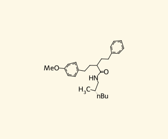 CCCC[C@H](C)CNC(=O)C(CCc1ccccc1)CCc1ccc(OC)cc1